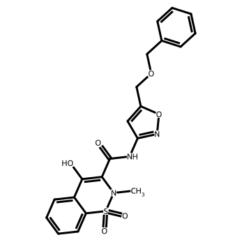 CN1C(C(=O)Nc2cc(COCc3ccccc3)on2)=C(O)c2ccccc2S1(=O)=O